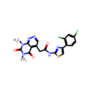 Cn1c(=O)c2c(CC(=O)Nc3nc(-c4ccc(F)cc4F)cs3)cnnc2n(C)c1=O